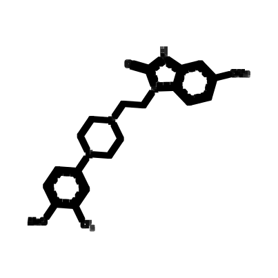 COc1ccc2c(c1)[nH]c(=O)n2CCN1CCN(c2ccc(OC)c(C(F)(F)F)c2)CC1